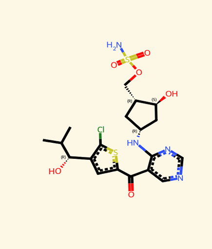 CC(C)[C@@H](O)c1cc(C(=O)c2cncnc2N[C@@H]2C[C@H](COS(N)(=O)=O)[C@@H](O)C2)sc1Cl